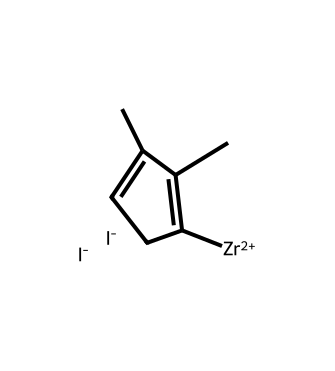 CC1=CC[C]([Zr+2])=C1C.[I-].[I-]